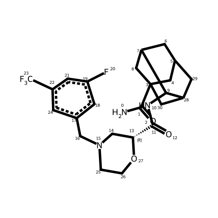 NC(=O)C12CC3CC(C1)C(NC(=O)[C@H]1CN(Cc4cc(F)cc(C(F)(F)F)c4)CCO1)C(C3)C2